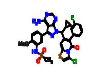 COc1ccc(-c2nn(C(c3cc4scc(Cl)n4c(=O)c3-c3cccc(F)c3)C3CC3)c3ncnc(N)c23)cc1NS(C)(=O)=O